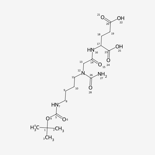 CC(C)(C)OC(=O)NCCCCN(CC(=O)NC(CCC(=O)O)C(=O)O)C(N)=O